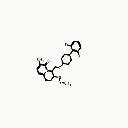 CSNC1CCc2ccc(C)c(=O)n2C1COC1CCC(c2c(F)cccc2F)CC1